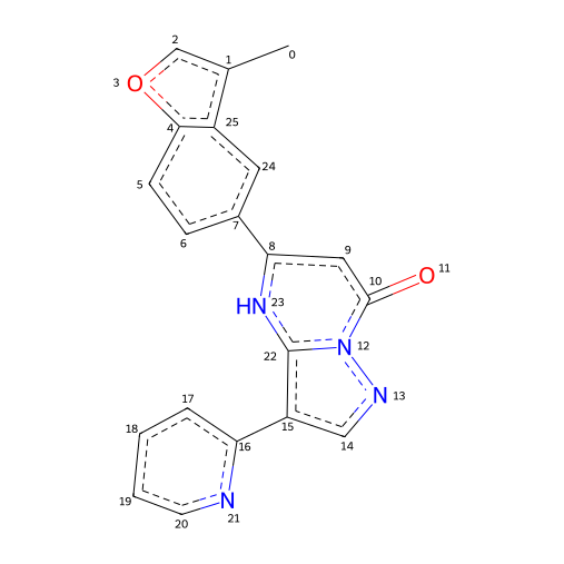 Cc1coc2ccc(-c3cc(=O)n4ncc(-c5ccccn5)c4[nH]3)cc12